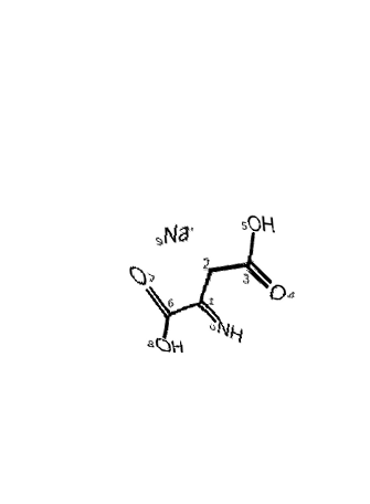 N=C(CC(=O)O)C(=O)O.[Na]